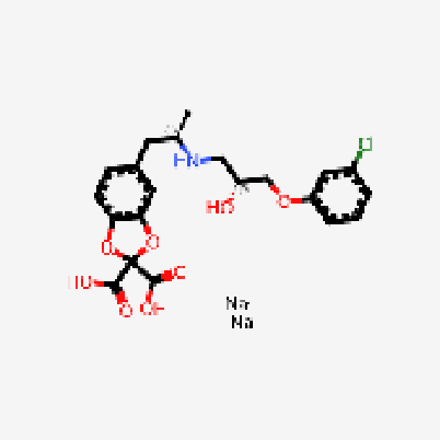 C[C@H](Cc1ccc2c(c1)OC(C(=O)O)(C(=O)O)O2)NC[C@@H](O)COc1cccc(Cl)c1.[Na].[Na]